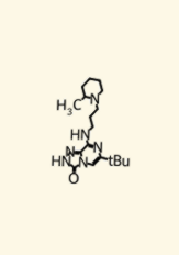 CC1CCCCN1CCCNc1nc(C(C)(C)C)cn2c(=O)[nH]nc12